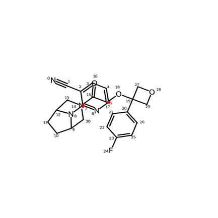 N#Cc1cccnc1N1C2CCC1CN(C(=O)COC1(c3ccc(F)cc3)COC1)C2